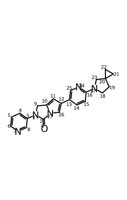 O=C1N(c2cccnc2)Cc2cc(-c3ccc(N4CCC5(CC5)C4)nc3)cn21